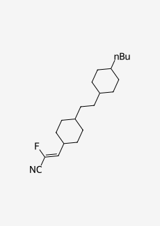 CCCCC1CCC(CCC2CCC(C=C(F)C#N)CC2)CC1